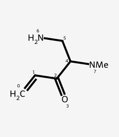 C=CC(=O)C(CN)NC